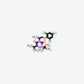 CC(C)[C@H](N)C(=O)N(C(=O)OC(C)(C)C)C(C)COc1c(Cl)cc(Cl)cc1Cl